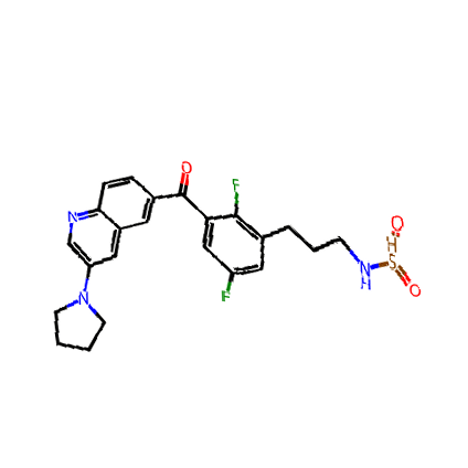 O=C(c1ccc2ncc(N3CCCC3)cc2c1)c1cc(F)cc(CCCN[SH](=O)=O)c1F